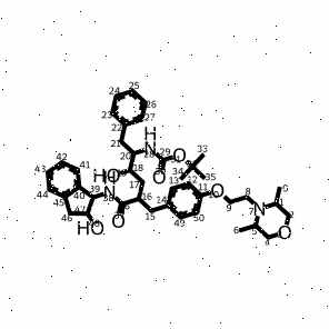 CC1COCC(C)N1CCOc1ccc(CC(CC(O)C(Cc2ccccc2)NC(=O)OC(C)(C)C)C(=O)NC2c3ccccc3CC2O)cc1